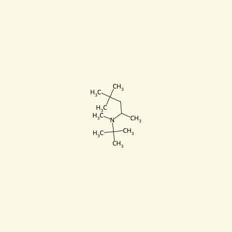 CC(CC(C)(C)C)N(C)C(C)(C)C